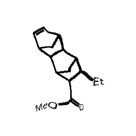 CCC1C2CC(C1C(=O)OC)C1C3C=CC(C3)C21